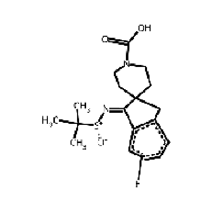 CC(C)(C)[S@@+]([O-])/N=C1\c2cc(F)ccc2CC12CCN(C(=O)O)CC2